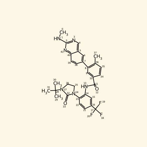 CNc1ncc2cc(-c3cc(C(=O)Nc4cc(C(F)(F)F)ccc4N4CCN(C(C)(C)C)C4=O)ccc3C)ccc2n1